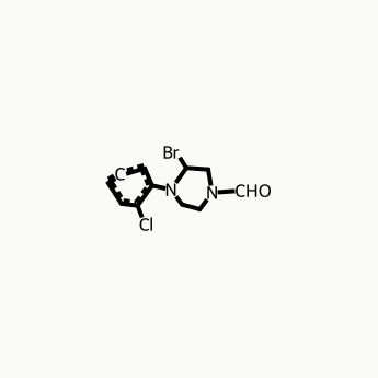 O=CN1CCN(c2ccccc2Cl)C(Br)C1